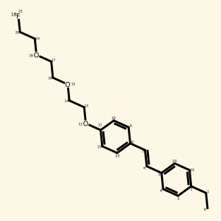 CCc1ccc(/C=C/c2ccc(OCCOCCOCC[18F])cc2)cc1